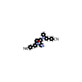 N#Cc1ccc(-c2ccc3c(c2)c2ccccc2n3-c2ccc(C#N)c(-c3cnccc3-n3c4ccccc4c4cc(-c5ccc(C#N)cc5)ccc43)c2)cc1